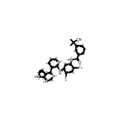 CC(C)(C#N)c1cccc(C(=O)Nc2cc(Nc3ncccc3-c3ncnc4[nH]c#cc34)c(F)cc2F)c1